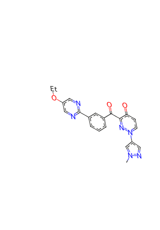 CCOc1cnc(-c2cccc(C(=O)c3nn(-c4cnn(C)c4)ccc3=O)c2)nc1